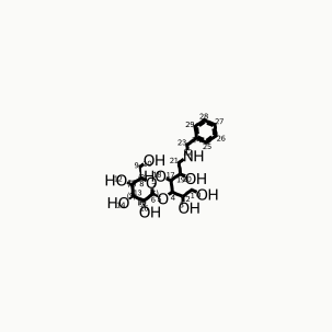 OCC(O)C(O[C@@H]1O[C@H](CO)[C@H](O)[C@H](O)[C@H]1O)C(O)C(O)CNCc1ccccc1